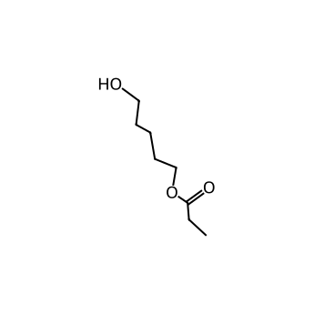 CCC(=O)OCCCCCO